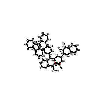 C/C=C\C(=C/C)c1ccccc1N(c1ccc(-c2ccccc2-n2c3ccccc3c3ccccc32)cc1)c1cccc(-c2cc3ccccc3c(C)c2C)c1